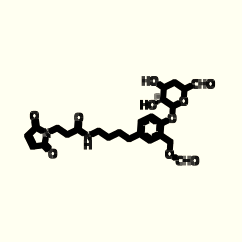 O=COCc1cc(CCCCNC(=O)CCN2C(=O)C=CC2=O)ccc1OC1OC(C=O)CC(O)[C@H]1O